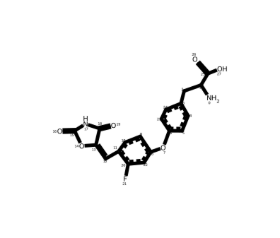 NC(Cc1ccc(Oc2ccc(C=C3OC(=O)NC3=O)c(F)c2)cc1)C(=O)O